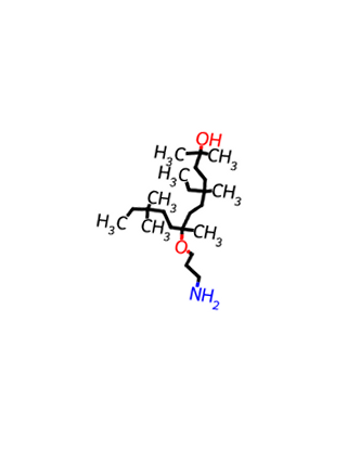 CCC(C)(C)CCC(C)(CCC(C)(CC)CCC(C)(C)O)OCCCN